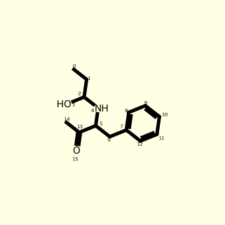 CCC(O)NC(Cc1ccccc1)C(C)=O